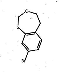 Brc1ccc2c(c1)SCOCC2